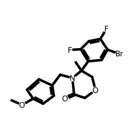 COc1ccc(CN2C(=O)COCC2(C)c2cc(Br)c(F)cc2F)cc1